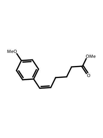 COC(=O)CCC/C=C\c1ccc(OC)cc1